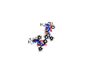 CN[C@@H](C)C(=O)N[C@H](C(=O)N1CCOC[C@H]1CN(CCc1ccccc1)C(=O)c1ccc(-c2ccc(C(=O)N(CCc3ccccc3)C[C@@H]3COCCN3C(=O)[C@@H](NC(=O)[C@H](C)NC)C3CCCCC3)cc2)cc1)C1CCCCC1